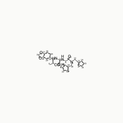 CC(C(=O)O)[C@H](NC(=O)NCC(=O)N(Cc1cccs1)Cc1cccs1)c1ccc2c(c1)OCO2